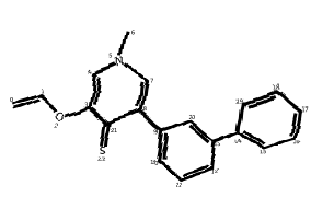 C=COc1cn(C)cc(-c2cccc(-c3ccccc3)c2)c1=S